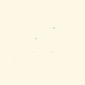 COc1nc(N[C@@H]2CCC[C@H](c3nc4cc([N+](=O)[O-])ccc4n3C)C2)ncc1C#N